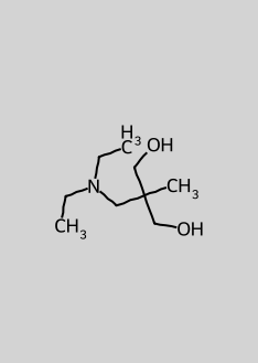 CCN(CC)CC(C)(CO)CO